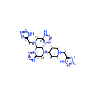 C1CN(Cc2nnn[nH]2)CCC1N(CCN(Cc1nnn[nH]1)Cc1nnn[nH]1)Cc1nnn[nH]1